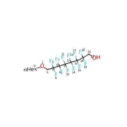 CCCCCCOCC(F)(F)C(F)(F)C(F)(F)C(F)(F)C(F)(F)C(F)(F)CO